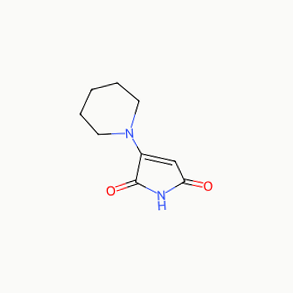 O=C1C=C(N2CCCCC2)C(=O)N1